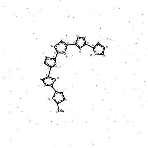 CC(C)(C)c1ccc(-c2ccc(-c3ccc(-c4ccc(-c5ccc(-c6cccs6)s5)s4)s3)s2)s1